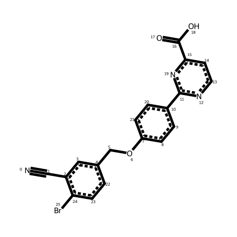 N#Cc1cc(COc2ccc(-c3nccc(C(=O)O)n3)cc2)ccc1Br